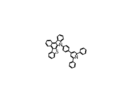 c1ccc(-c2cc(-c3ccc(-n4c5ccccc5c5c6ccccc6c6c7ccccc7sc6c54)cc3)cc(-c3ccccc3)n2)cc1